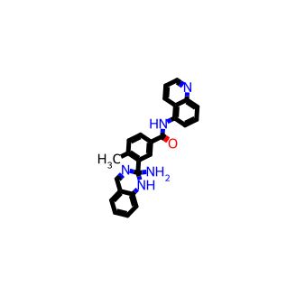 Cc1ccc(C(=O)Nc2cccc3ncccc23)cc1C1(N)N=Cc2ccccc2N1